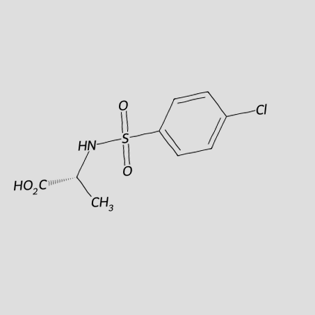 C[C@@H](NS(=O)(=O)c1ccc(Cl)cc1)C(=O)O